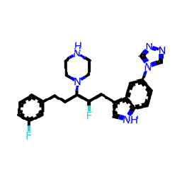 Fc1cccc(CCC(C(F)Cc2c[nH]c3ccc(-n4cnnc4)cc23)N2CCNCC2)c1